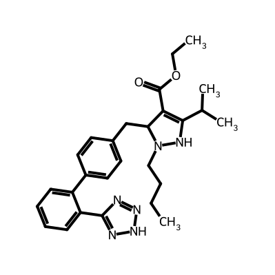 CCCCN1NC(C(C)C)=C(C(=O)OCC)C1Cc1ccc(-c2ccccc2-c2nn[nH]n2)cc1